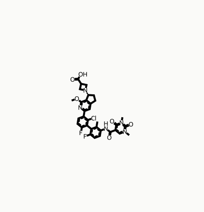 COc1nc(-c2ccc(F)c(-c3c(F)ccc(NC(=O)c4cn(C)c(=O)n(C)c4=O)c3C)c2Cl)cc2c1[C@@H](N1CC(C(=O)O)C1)CC2